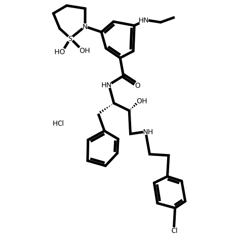 CCNc1cc(C(=O)N[C@@H](Cc2ccccc2)[C@H](O)CNCCc2ccc(Cl)cc2)cc(N2CCCCS2(O)O)c1.Cl